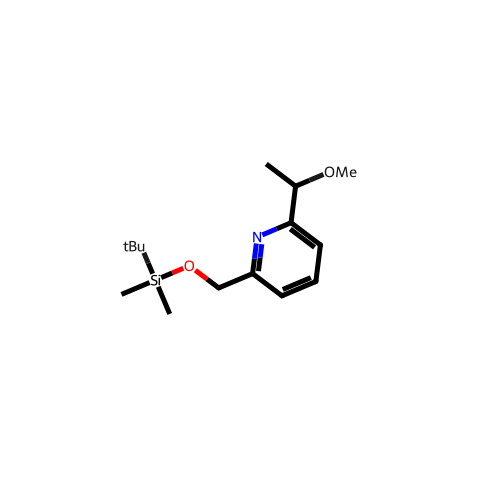 COC(C)c1cccc(CO[Si](C)(C)C(C)(C)C)n1